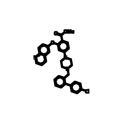 COC(=O)c1ccc(N2CCN(Cc3ccccc3-c3ccc(Cl)cc3)CC2)cc1Oc1ccc2ncccc2c1